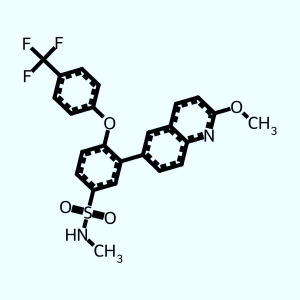 CNS(=O)(=O)c1ccc(Oc2ccc(C(F)(F)F)cc2)c(-c2ccc3nc(OC)ccc3c2)c1